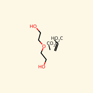 C=CC(=O)O.CC(=O)O.OCCOCCO